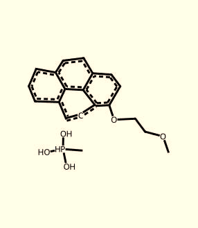 COCCOc1ccc2ccc3cccc4ccc1c2c34.C[PH](O)(O)O